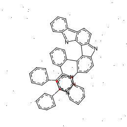 c1ccc(-c2nnnc(-c3ccccc3-c3c(-c4cccc5ccccc45)ccc4c3-c3c5c(ccc3=N4)=c3ccccc3=N5)c2-c2ccccc2)cc1